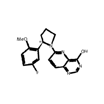 COc1ccc(F)cc1[C@H]1CCCN1c1ccc2ncnc(O)c2n1